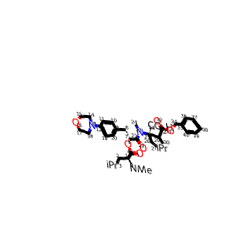 CN[C@@H](CC(C)C)C(=O)O[C@H](Cc1ccc(N2CCOCC2)cc1)C(=O)N(C)[C@@](CC(C)C)(C(=O)O)C(C)C(=O)OCc1ccccc1